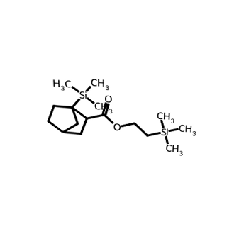 C[Si](C)(C)CCOC(=O)C1CC2CCC1([Si](C)(C)C)C2